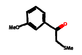 COc1cccc(C(=O)CSC)c1